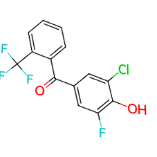 O=C(c1cc(F)c(O)c(Cl)c1)c1ccccc1C(F)(F)F